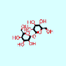 OC[C@H]1O[C@H](O[C@H]2O[C@H](CO)[C@@H](O)[C@H](O)[C@@H]2O)[C@@H](O)[C@@H](O)[C@@H]1O